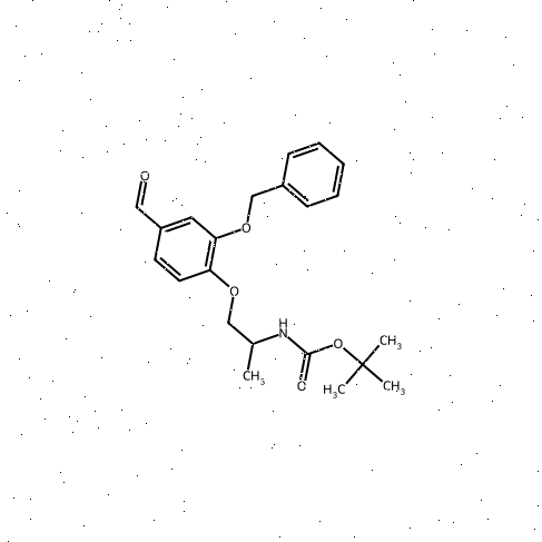 CC(COc1ccc(C=O)cc1OCc1ccccc1)NC(=O)OC(C)(C)C